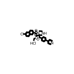 CCOC(=O)C1(C(=O)c2ccc(-c3ccncc3)cc2)CNCCN1S(=O)(=O)c1ccc2cc(Cl)ccc2c1.Cl